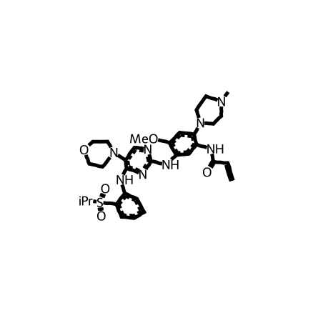 C=CC(=O)Nc1cc(Nc2ncc(N3CCOCC3)c(Nc3ccccc3S(=O)(=O)C(C)C)n2)c(OC)cc1N1CCN(C)CC1